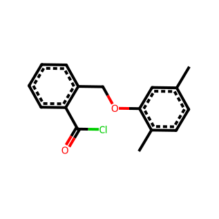 Cc1ccc(C)c(OCc2ccccc2C(=O)Cl)c1